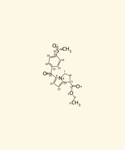 CCOC(=O)C1CCn2c(C(=O)c3ccc([S+](C)[O-])cc3)ccc21